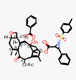 CC(=O)O[C@H]1C(=O)[C@@]2(C)[C@H]([C@H](OC(=O)c3ccccc3)[C@]3(O)C[C@H](OC(=O)C4C(c5ccccc5)N4S(=O)(=O)c4ccc(C)cc4)C(C)=C1C3(C)C)[C@]1(OC(C)=O)CO[C@@H]1C[C@@H]2C